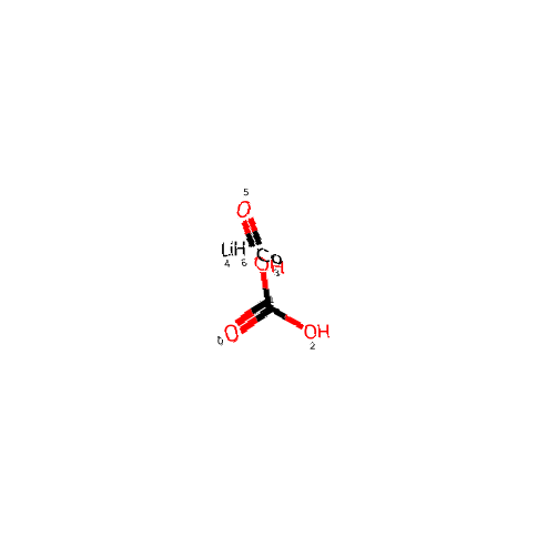 O=C(O)O.[LiH].[O]=[Co]